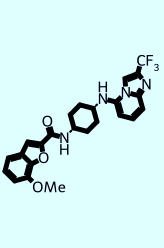 COc1cccc2cc(C(=O)N[C@H]3CC[C@@H](Nc4cccc5nc(C(F)(F)F)cn45)CC3)oc12